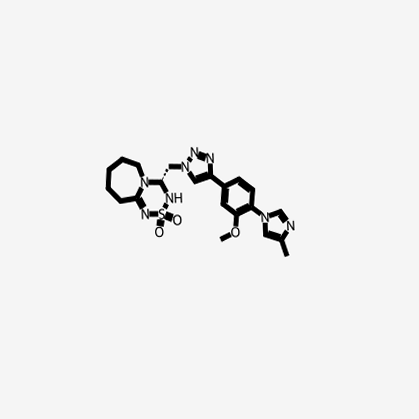 COc1cc(-c2cn(C[C@@H]3NS(=O)(=O)N=C4CCCCCN43)nn2)ccc1-n1cnc(C)c1